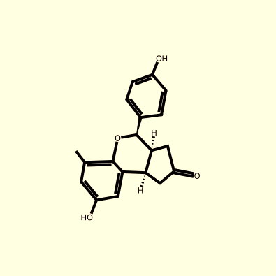 Cc1cc(O)cc2c1O[C@@H](c1ccc(O)cc1)[C@H]1CC(=O)C[C@@H]21